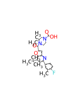 Cc1cc(-c2cc(C(C)(C)C)c3oc(C(=O)N4CCN(C(=O)O)CC4(C)C)cc3n2)ccc1F